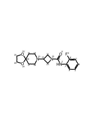 O=C(Nc1ccccc1F)N1CC(N2CCC3(CC2)OCCO3)C1